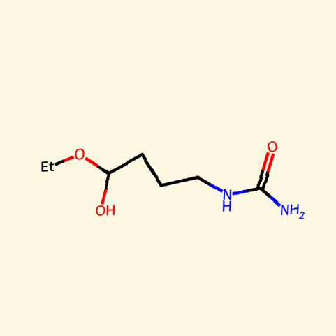 CCOC(O)CCCNC(N)=O